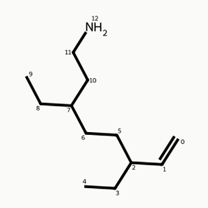 C=CC(CC)CCC(CC)CCN